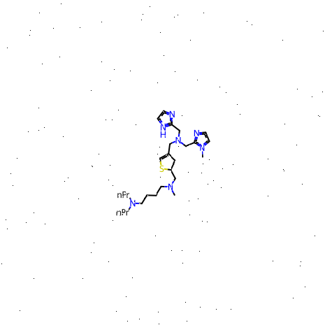 CCCN(CCC)CCCCN(C)CC1CC(CN(Cc2ncc[nH]2)Cc2nccn2C)=CS1